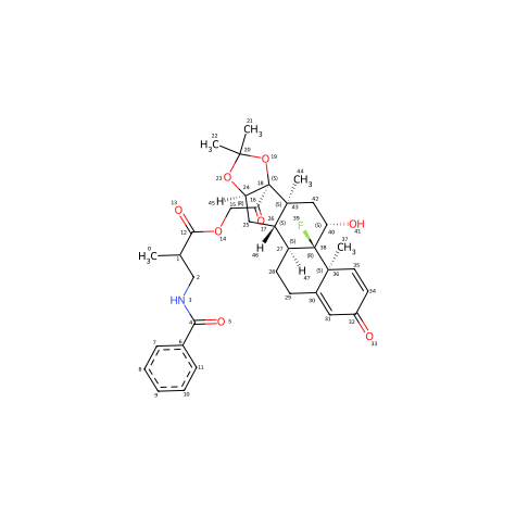 CC(CNC(=O)c1ccccc1)C(=O)OCC(=O)[C@@]12OC(C)(C)O[C@@H]1C[C@H]1[C@@H]3CCC4=CC(=O)C=C[C@]4(C)[C@@]3(F)[C@@H](O)C[C@@]12C